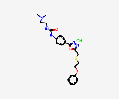 CN(C)CCNC(=O)Nc1ccc(-c2nnc(CSCCOc3ccccc3)o2)cc1.Cl